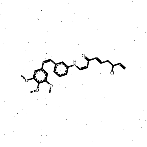 C=CC(Cl)C/C=C/C(=O)/C=C\Nc1cccc(/C=C\c2cc(OC)c(OC)c(OC)c2)c1